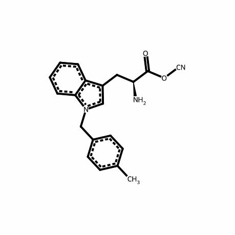 Cc1ccc(Cn2cc(C[C@H](N)C(=O)OC#N)c3ccccc32)cc1